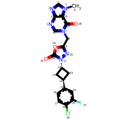 Cn1cnc2ncn(Cc3nn([C@H]4C[C@H](c5ccc(Cl)c(F)c5)C4)c(=O)o3)c(=O)c21